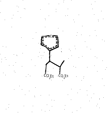 CCOC(=O)CC(c1ccccc1)C(C)C(=O)OCC